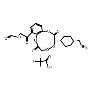 NC[C@H]1CC[C@H](C2OOCC(=O)Oc3c(cccc3C(=O)CNC=O)OC2=O)CC1.O=C(O)C(F)(F)F